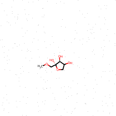 COC[C@]1(O)OCC(O)[C@@H]1O